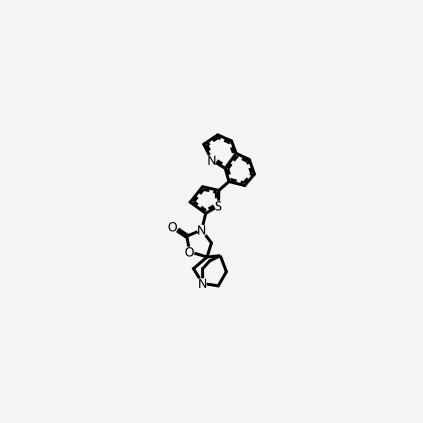 O=C1OC2(CN3CCC2CC3)CN1c1ccc(-c2cccc3cccnc23)s1